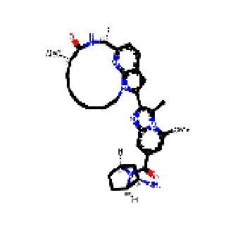 COc1cc(C(=O)N2[C@H]3CC[C@@H]2[C@H](N)C3)cc2nc(-c3cc4ccc5nc4n3CCCCCC[C@H](OC)C(=O)N[C@@H]5C)c(C)n12